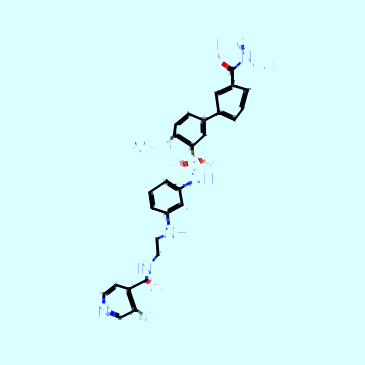 COc1ccc(-c2cccc(C(=O)N(C)C)c2)cc1S(=O)(=O)Nc1cccc(NCCNC(=O)c2ccncc2Cl)c1